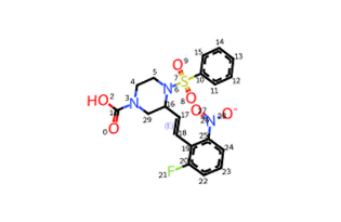 O=C(O)N1CCN(S(=O)(=O)c2ccccc2)C(/C=C/c2c(F)cccc2[N+](=O)[O-])C1